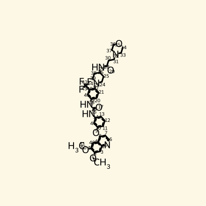 COc1cc2nccc(Oc3cccc(NC(=O)Nc4ccc(N5CCC(NC(=O)CCN6CCOCC6)CC5)c(C(F)(F)F)c4)c3)c2cc1OC